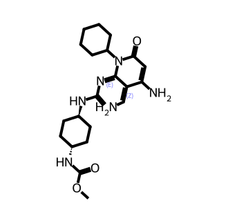 C=C(/N=C1\C(=C/N)C(N)=CC(=O)N1C1CCCCC1)N[C@H]1CC[C@H](NC(=O)OC)CC1